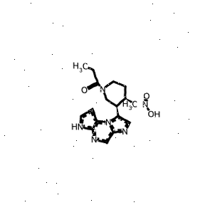 CCC(=O)N1CC[C@@H](C)[C@@H](c2cnc3cnc4[nH]ccc4n23)C1.O=NO